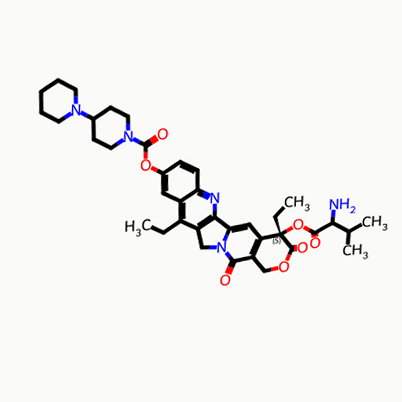 CCc1c2c(nc3ccc(OC(=O)N4CCC(N5CCCCC5)CC4)cc13)-c1cc3c(c(=O)n1C2)COC(=O)[C@@]3(CC)OC(=O)C(N)C(C)C